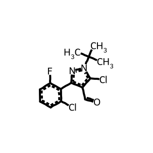 CC(C)(C)n1nc(-c2c(F)cccc2Cl)c(C=O)c1Cl